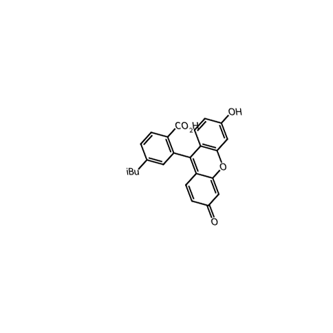 CCC(C)c1ccc(C(=O)O)c(-c2c3ccc(=O)cc-3oc3cc(O)ccc23)c1